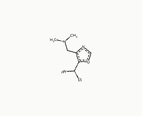 CCCC(CC)c1ocnc1CN(C)C